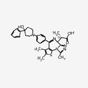 Cc1sc2c(c1C)C(c1ccc(N3CCC(O)(c4ccccc4)CC3)cc1)=NC([C@H](C)C(=O)O)c1nnc(C)n1-2